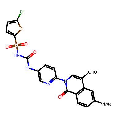 CNc1ccc2c(=O)n(-c3ccc(NC(=O)NS(=O)(=O)c4ccc(Cl)s4)cn3)cc(C=O)c2c1